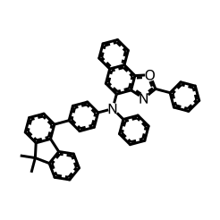 CC1(C)c2ccccc2-c2c(-c3ccc(N(c4ccccc4)c4cc5ccccc5c5oc(-c6ccccc6)nc45)cc3)cccc21